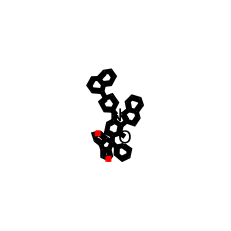 c1ccc2c(c1)Oc1c(ccc3c1c1ccc4ccccc4c1n3-c1ccc(-c3cccc4ccccc34)cc1)C21c2ccccc2-c2ccccc21